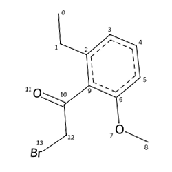 CCc1cccc(OC)c1C(=O)CBr